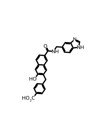 O=C(O)c1ccc(Cc2cc3cc(C(=O)NCc4ccc5[nH]cnc5c4)ccc3cc2O)cc1